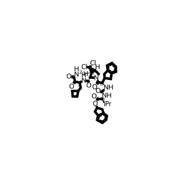 CC(C)[C@H](NC(=O)N[C@H](C(=O)N1C[C@H]2[C@@H]([C@H]1C(=O)NC(CC1CCC1)C(=O)C(N)=O)C2(Cl)Cl)C1Cc2ccccc2C1)C(=O)OC1Cc2ccccc2C1